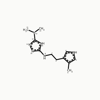 Cc1c[nH]cc1CCNc1nnc(N(C)C)[nH]1